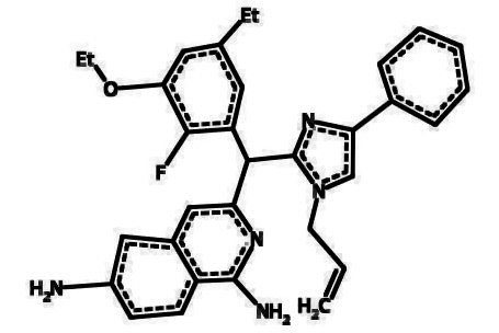 C=CCn1cc(-c2ccccc2)nc1C(c1cc2cc(N)ccc2c(N)n1)c1cc(CC)cc(OCC)c1F